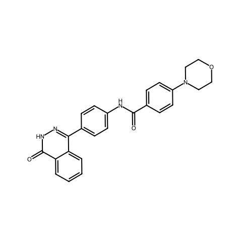 O=C(Nc1ccc(-c2n[nH]c(=O)c3ccccc23)cc1)c1ccc(N2CCOCC2)cc1